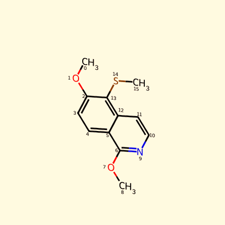 COc1ccc2c(OC)nccc2c1SC